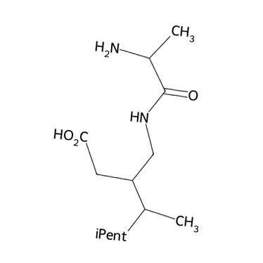 CCCC(C)C(C)C(CNC(=O)C(C)N)CC(=O)O